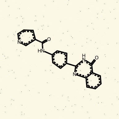 O=C(Nc1ccc(-c2nc3ccccc3c(=O)[nH]2)cc1)c1cccnc1